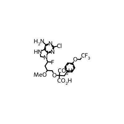 COC(COC(Cc1ccc(OCC(F)(F)F)cc1)(C(=O)O)C(=O)O)CC(F)N1CNc2c(N)nc(Cl)nc21